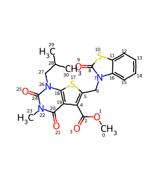 COC(=O)c1c(Cn2c(=O)sc3ccccc32)sc2c1c(=O)n(C)c(=O)n2CC(C)C